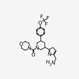 NCC1=CCC(C2CC(c3ccc(OC(F)(F)F)cc3)CN(C(=O)N3CCOCC3)C2)=N1